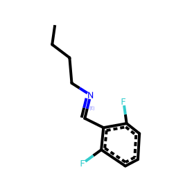 CCCC/N=C/c1c(F)cccc1F